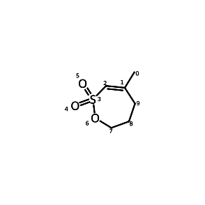 CC1=CS(=O)(=O)OCCC1